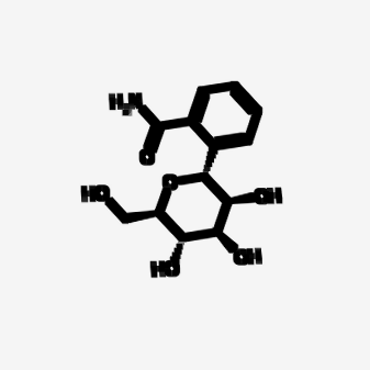 NC(=O)c1ccccc1[C@H]1O[C@H](CO)[C@@H](O)[C@H](O)[C@@H]1O